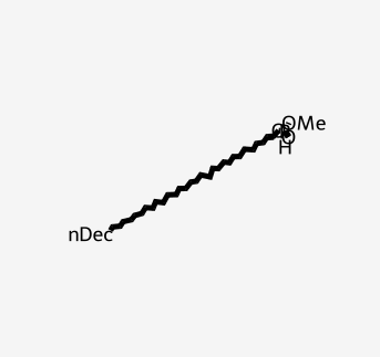 CCCCCCCCCCCCCCCCCCCCCCCCCCCCCCCCCCCCCC/C=C/O[PH](=O)OC